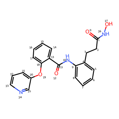 O=C(CCc1ccccc1NC(=O)c1ccccc1Oc1cccnc1)NO